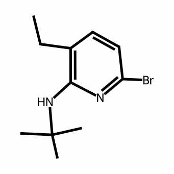 CCc1ccc(Br)nc1NC(C)(C)C